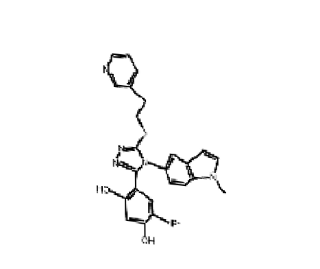 CC(C)c1cc(-c2nnc(SCCc3cccnc3)n2-c2ccc3c(ccn3C)c2)c(O)cc1O